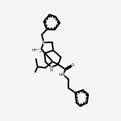 CC(C)CC1[C@@H]2C3CNC1(C(=O)NCCc1ccccc1)CC3CN2Cc1ccccc1